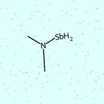 C[N](C)[SbH2]